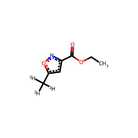 [2H]C([2H])([2H])c1cc(C(=O)OCC)no1